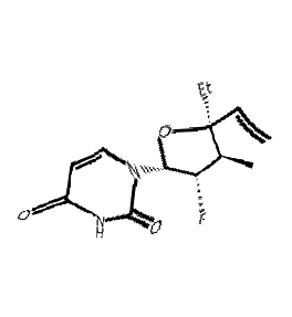 C=C[C@]1(CC)O[C@@H](n2ccc(=O)[nH]c2=O)[C@@H](F)[C@@H]1C